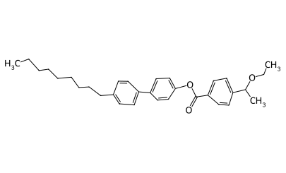 CCCCCCCCCc1ccc(-c2ccc(OC(=O)c3ccc(C(C)OCC)cc3)cc2)cc1